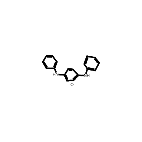 [O].c1ccc(Nc2ccc(Nc3ccccc3)cc2)cc1